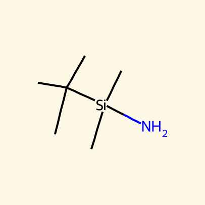 CC(C)(C)[Si](C)(C)N